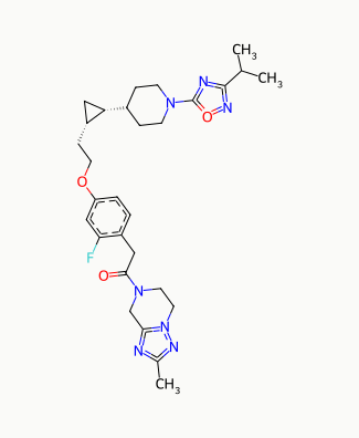 Cc1nc2n(n1)CCN(C(=O)Cc1ccc(OCC[C@@H]3C[C@@H]3C3CCN(c4nc(C(C)C)no4)CC3)cc1F)C2